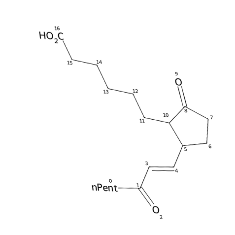 CCCCCC(=O)/C=C/C1CCC(=O)C1CCCCCC(=O)O